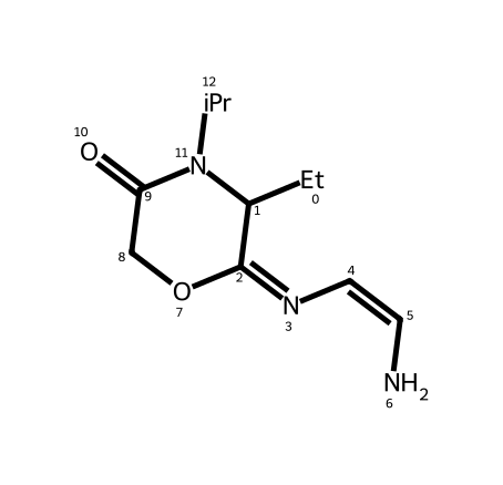 CCC1/C(=N\C=C/N)OCC(=O)N1C(C)C